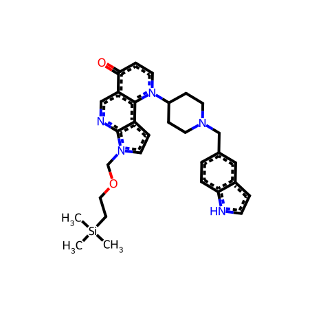 C[Si](C)(C)CCOCn1ccc2c1ncc1c(=O)ccn(C3CCN(Cc4ccc5[nH]ccc5c4)CC3)c12